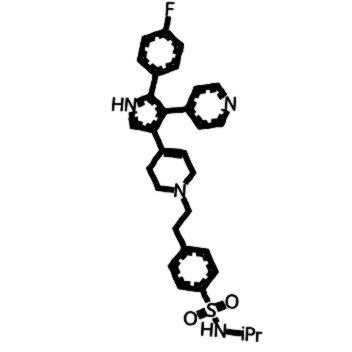 CC(C)NS(=O)(=O)c1ccc(CCN2CC=C(c3c[nH]c(-c4ccc(F)cc4)c3-c3ccncc3)CC2)cc1